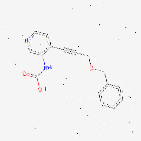 O=C(O)Nc1cnccc1C#CCOCc1ccccc1